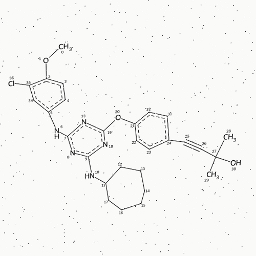 COc1ccc(Nc2nc(NC3CCCCCC3)nc(Oc3ccc(C#CC(C)(C)O)cc3)n2)cc1Cl